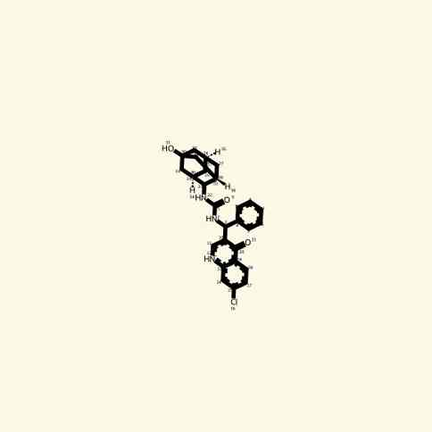 O=C(NC(c1ccccc1)c1c[nH]c2cc(Cl)ccc2c1=O)NC1[C@@H]2C[C@@H]3C[C@H]1CC(O)(C3)C2